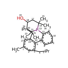 Cc1cc(CC(C)C)c(-c2ccccc2P2C(C)(C)CC(O)CC2(C)C)c(CC(C)C)c1